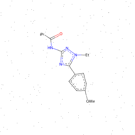 CCn1nc(NC(=O)C(C)C)nc1-c1ccc(OC)cc1